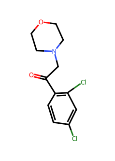 O=C(CN1CCOCC1)c1ccc(Cl)cc1Cl